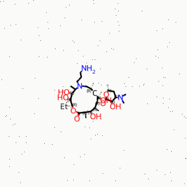 CC[C@H]1OC(=O)[C@H](C)[C@@H](O)[C@H](C)[C@@H](O[C@H]2O[C@H](C)C[C@H](N(C)C)[C@H]2O)[C@](C)(O)C[C@@H](C)CN(CCCN)C(C)[C@@H](O)[C@]1(C)O